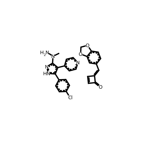 CN(N)c1n[nH]c(-c2ccc(Cl)cc2)c1-c1ccncc1.O=C1C=CC1=Cc1ccc2c(c1)OCO2